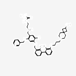 CC(=O)NCCNCc1cc(Cl)c(OCc2cccc(-c3cccc(OCCCN4CCC5(CC4)CC(O)C5)c3C)c2C)cc1OCc1cccnc1